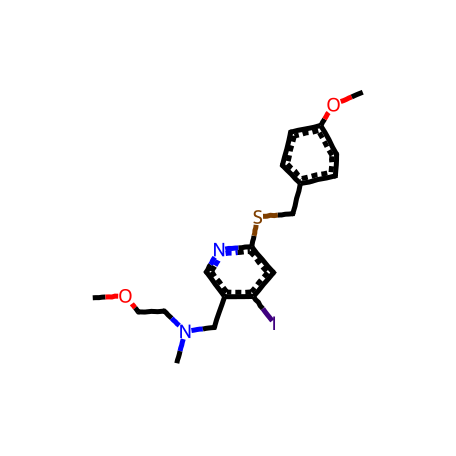 COCCN(C)Cc1cnc(SCc2ccc(OC)cc2)cc1I